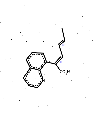 C/C=C/C=C(/C(=O)O)c1cccc2cccnc12